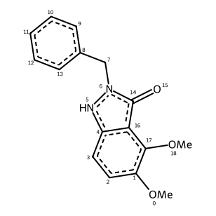 COc1ccc2[nH]n(Cc3ccccc3)c(=O)c2c1OC